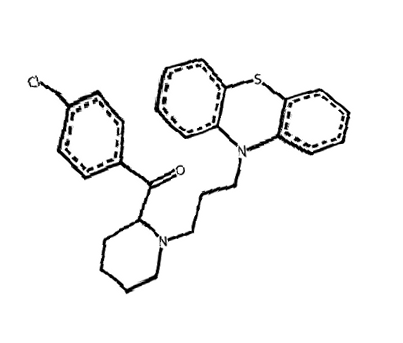 O=C(c1ccc(Cl)cc1)C1CCCCN1CCCN1c2ccccc2Sc2ccccc21